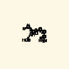 COc1cc(-c2cccc(-c3cccc(COc4cc(OCc5cncc(C#N)c5)c(CNCCCC(=O)O)cc4Cl)c3C)c2C)ccc1C1=NCCN1